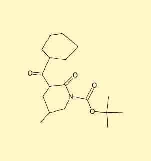 CC1CC(C(=O)C2CCCCC2)C(=O)N(C(=O)OC(C)(C)C)C1